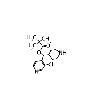 CC(C)(C)C(=O)OC(c1ccncc1Cl)C1CCNCC1